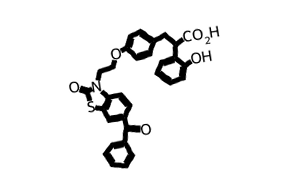 O=C(c1ccccc1)c1ccc2c(c1)sc(=O)n2CCOc1ccc(CC(C(=O)O)c2ccccc2O)cc1